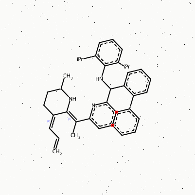 C=C/C=C1/CCC(C)N/C1=C(/C)c1cccc(C(Nc2c(C(C)C)cccc2C(C)C)c2ccccc2-c2ccccc2)n1